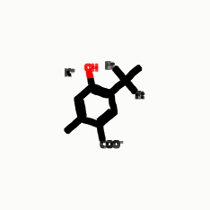 CCC(C)(CC)c1cc(C(=O)[O-])c(C)cc1O.[K+]